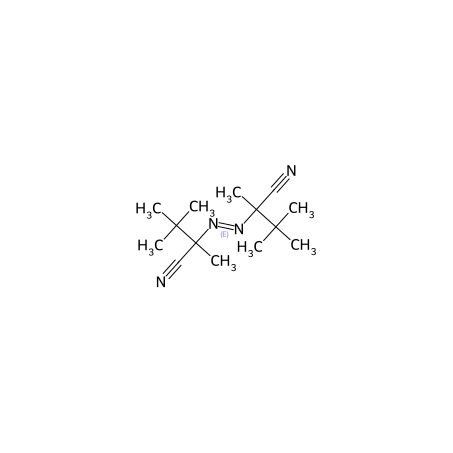 CC(C)(C)C(C)(C#N)/N=N/C(C)(C#N)C(C)(C)C